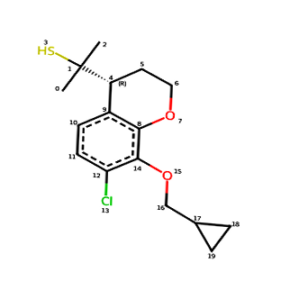 CC(C)(S)[C@@H]1CCOc2c1ccc(Cl)c2OCC1CC1